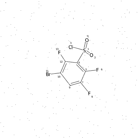 O=S(=O)(Cl)c1c(F)c(F)cc(Br)c1F